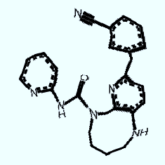 N#Cc1cccc(-c2ccc3c(n2)N(C(=O)Nc2ccccn2)CCCCN3)c1